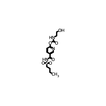 CCCCS(=O)(=O)NC(=O)c1ccc(OC(=O)NCCO)nc1